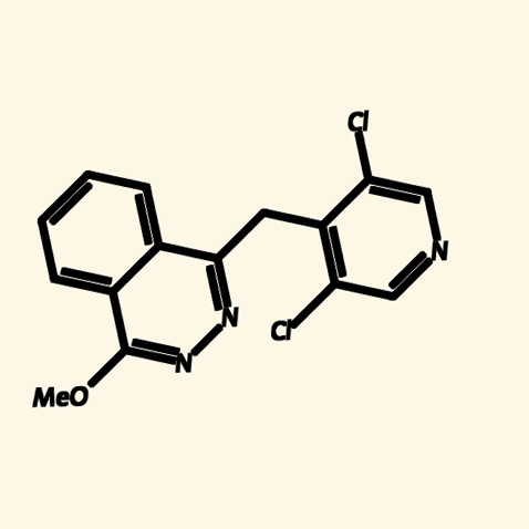 COc1nnc(Cc2c(Cl)cncc2Cl)c2ccccc12